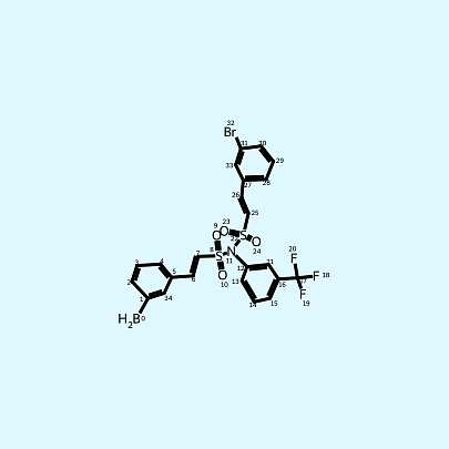 Bc1cccc(/C=C/S(=O)(=O)N(c2cccc(C(F)(F)F)c2)S(=O)(=O)/C=C/c2cccc(Br)c2)c1